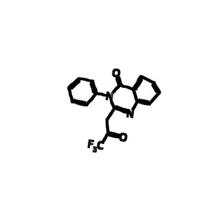 O=C(Cc1nc2ccccc2c(=O)n1-c1ccccc1)C(F)(F)F